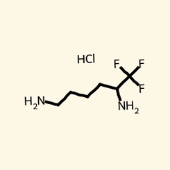 Cl.NCCCCC(N)C(F)(F)F